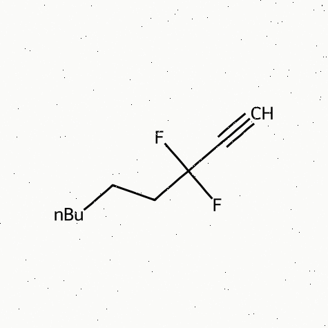 C#CC(F)(F)CCCCCC